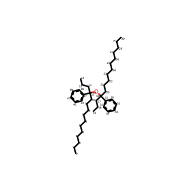 CCCCCCCCCCCC(CCC)(OC(CCC)(CCCCCCCCCCC)c1ccccc1)c1ccccc1